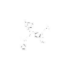 O=C(COC(=O)c1cccs1)O[C@@H](Cc1c(Cl)c[n+](O)cc1Cl)c1ccc(OC(F)F)c(OCC2CC2)c1